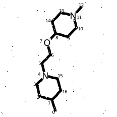 CC1CCN(CCOC2CCN(C)CC2)CC1